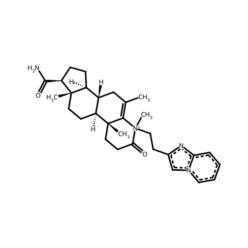 CC1=C2[C@](C)(CCC(=O)[N+]2(C)CCc2cn3ccccc3n2)[C@H]2CC[C@]3(C)[C@@H](C(N)=O)CC[C@H]3[C@@H]2C1